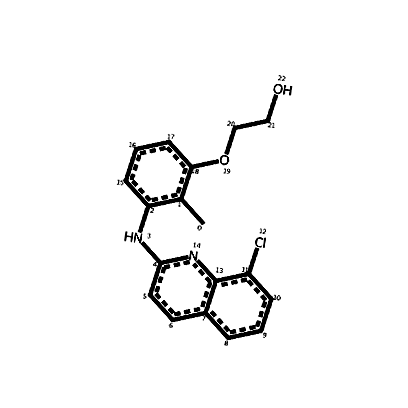 Cc1c(Nc2ccc3cccc(Cl)c3n2)cccc1OCCO